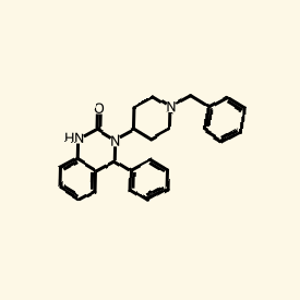 O=C1Nc2ccccc2C(c2ccccc2)N1C1CCN(Cc2ccccc2)CC1